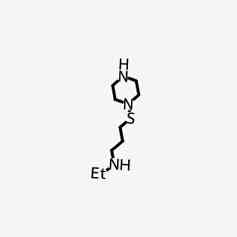 CCNCCCSN1CCNCC1